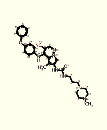 Cc1c(NC(=O)NCCCN2CCN(C)CC2)cn2ncc(C#N)c(Nc3ccc(Oc4ccccc4)cc3)c12